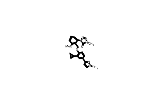 COc1cccc(-n2nnn(C)c2=O)c1COc1ccc(-c2ccn(C)n2)cc1C1CC1